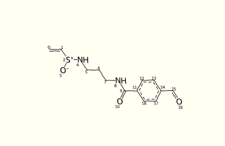 C=C[S+]([O-])NCCCNC(=O)c1ccc(C=O)cc1